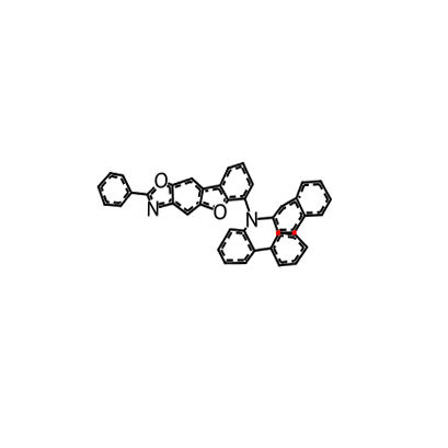 c1ccc(-c2nc3cc4oc5c(N(c6ccc7ccccc7c6)c6ccccc6-c6ccccc6)cccc5c4cc3o2)cc1